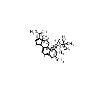 C[C@H]1CC2=CC=C3C4CC=C([C@H](C)O)C4(C)CCC3C2(C)[C@@H](O[Si](C)(C)C(C)(C)C)C1